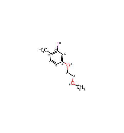 COCCOc1ccc(C)c(I)c1